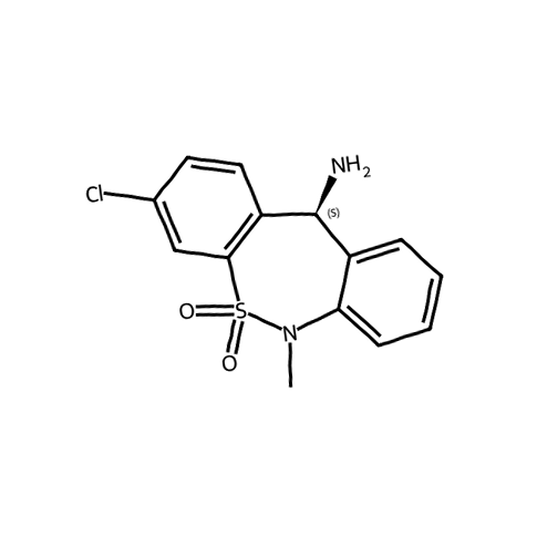 CN1c2ccccc2[C@H](N)c2ccc(Cl)cc2S1(=O)=O